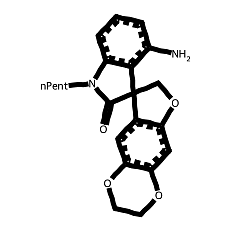 CCCCCN1C(=O)C2(COc3cc4c(cc32)OCCO4)c2c(N)cccc21